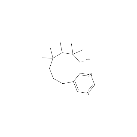 CC1C(C)(C)CCCc2cncnc2[C@@H](C)C1(C)C